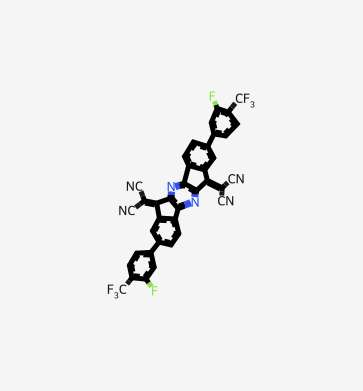 N#CC(C#N)=C1c2cc(-c3ccc(C(F)(F)F)c(F)c3)ccc2-c2nc3c(nc21)-c1ccc(-c2ccc(C(F)(F)F)c(F)c2)cc1C3=C(C#N)C#N